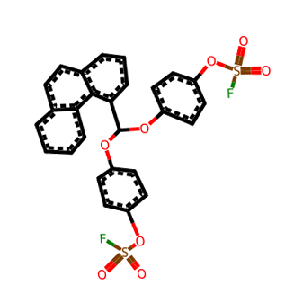 O=S(=O)(F)Oc1ccc(OC(Oc2ccc(OS(=O)(=O)F)cc2)c2cccc3ccc4ccccc4c23)cc1